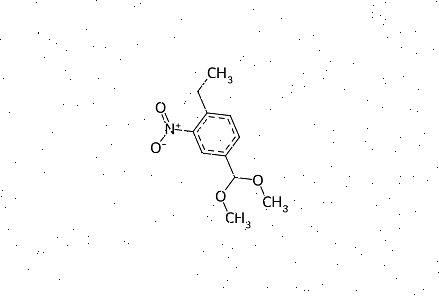 CCc1ccc(C(OC)OC)cc1[N+](=O)[O-]